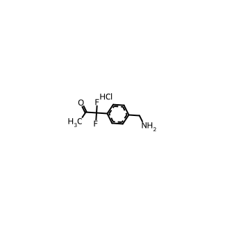 CC(=O)C(F)(F)c1ccc(CN)cc1.Cl